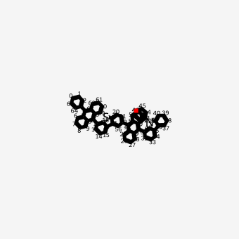 c1ccc(-c2c3ccccc3c(-c3cccc4c3sc3ccc(-c5c6ccccc6c(-c6cccc7c8ccccc8n(-c8ccccc8)c67)c6ccccc56)cc34)c3ccccc23)cc1